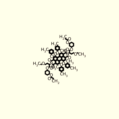 C=CC(=O)OC1CCCC(OC(=O)C(CCOCC)N2C(=O)c3cc(Oc4ccc(C)cc4C)c4c5c(Oc6ccc(C)cc6C)cc6c7c(cc(Oc8ccc(C)cc8C)c(c8c(Oc9ccc(C)cc9C)cc(c3c48)C2=O)c75)C(=O)N(C(CCOCC)C(=O)OC2CCCC(OC(=O)C=C)C2)C6=O)C1